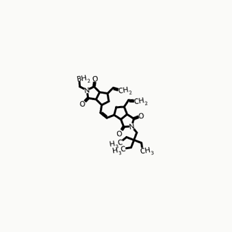 BCN1C(=O)C2C(C=C)CC(/C=C\C3CC(C=C)C4C(=O)N(CC(CC)(CC)CC)C(=O)C34)C2C1=O